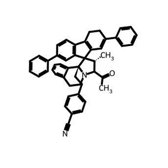 CC(=O)C1[C@@H](C)C2(C3=C(CCC(c4ccccc4)=C3)c3ccc(-c4ccccc4)cc32)[C@@]2(CCc3ccc(C#N)cc3)c3ccccc3CCN12